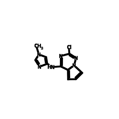 Cn1cnc(Nc2nc(Cl)nn3cccc23)c1